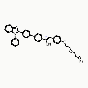 CCOCCOCCOc1ccc(/C=C(\C#N)c2ccc(-c3ccc(-c4nc5ccccc5n4-c4ccccc4)cc3)cc2)cc1